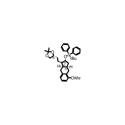 COc1cccc2c1C[C@@H]1C[C@@H](O[Si](c3ccccc3)(c3ccccc3)C(C)(C)C)[C@H](CC[C@@H]3COC(C)(C)O3)[C@@H]1C2